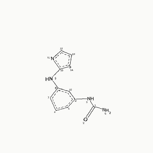 NC(=O)Nc1cccc(Nc2nccs2)c1